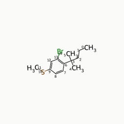 CCCC(C)(C)c1ccc(SC)cc1Br